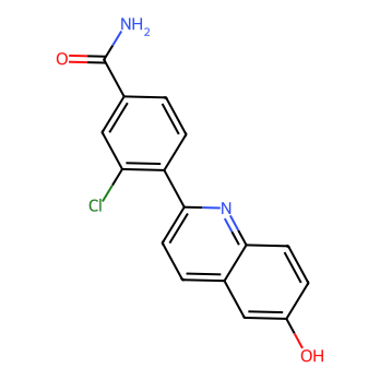 NC(=O)c1ccc(-c2ccc3cc(O)ccc3n2)c(Cl)c1